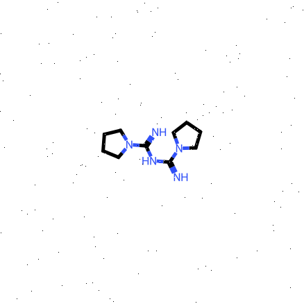 N=C(NC(=N)N1CCCC1)N1CCCC1